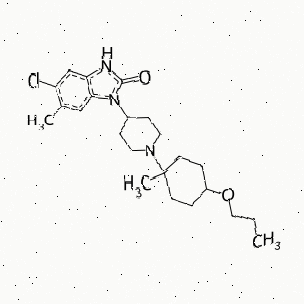 CCCOC1CCC(C)(N2CCC(n3c(=O)[nH]c4cc(Cl)c(C)cc43)CC2)CC1